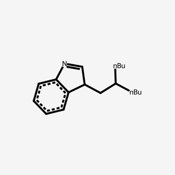 CCCCC(CCCC)CC1C=Nc2ccccc21